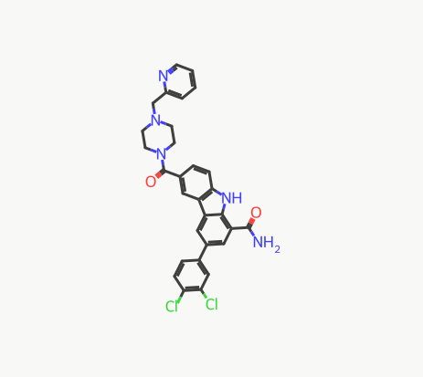 NC(=O)c1cc(-c2ccc(Cl)c(Cl)c2)cc2c1[nH]c1ccc(C(=O)N3CCN(Cc4ccccn4)CC3)cc12